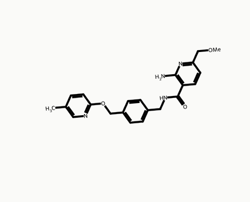 COCc1ccc(C(=O)NCc2ccc(COc3ccc(C)cn3)cc2)c(N)n1